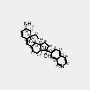 C[C@]12CC=C3C=C4C=C[C@@H](N)C[C@]45CC[C@]3(O5)[C@@H]1CC[C@@]2(O)c1ccc2ccncc2c1